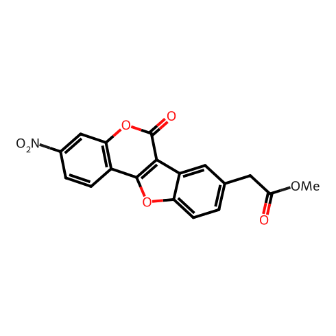 COC(=O)Cc1ccc2oc3c4ccc([N+](=O)[O-])cc4oc(=O)c3c2c1